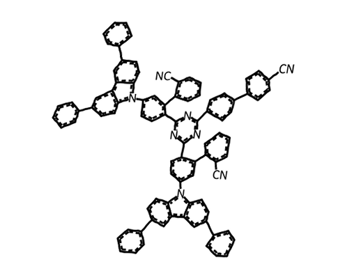 N#Cc1ccc(-c2ccc(-c3nc(-c4ccc(-n5c6ccc(-c7ccccc7)cc6c6cc(-c7ccccc7)ccc65)cc4-c4ccccc4C#N)nc(-c4ccc(-n5c6ccc(-c7ccccc7)cc6c6cc(-c7ccccc7)ccc65)cc4-c4ccccc4C#N)n3)cc2)cc1